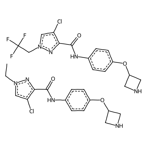 CCn1cc(Cl)c(C(=O)Nc2ccc(OC3CNC3)cc2)n1.O=C(Nc1ccc(OC2CNC2)cc1)c1nn(CC(F)(F)F)cc1Cl